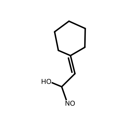 O=NC(O)C=C1CCCCC1